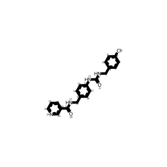 O=C(NCc1ccc(Cl)cc1)Nc1ccc(CNC(=O)c2cccnc2)cc1